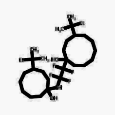 CCC(C)(C)C1CCCCCC(O)(BC(F)(F)C(F)(F)C2(O)CCCCCCC(C(C)(C)CC)CC2)CC1